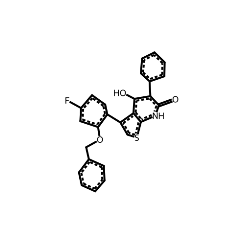 O=c1[nH]c2scc(-c3ccc(F)cc3OCc3ccccc3)c2c(O)c1-c1ccccc1